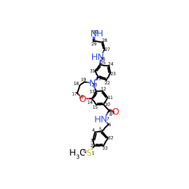 CSc1ccc(CNC(=O)c2ccc3c(c2)OCCCN3c2cccc(N/C=C\C=N)c2)cc1